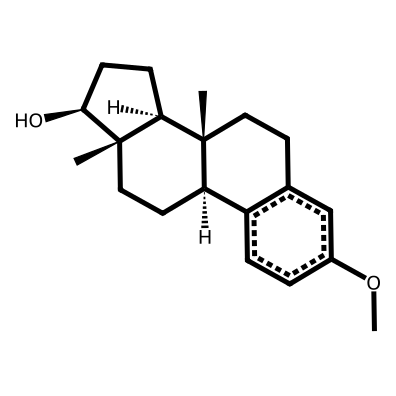 COc1ccc2c(c1)CC[C@@]1(C)[C@@H]3CC[C@H](O)[C@@]3(C)CC[C@H]21